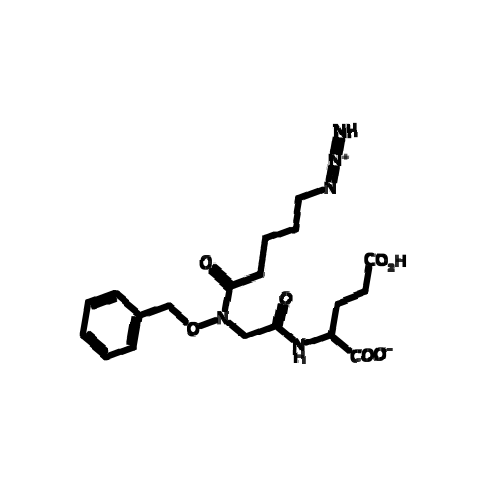 N=[N+]=NCCCCC(=O)N(CC(=O)NC(CCC(=O)O)C(=O)[O-])OCc1ccccc1